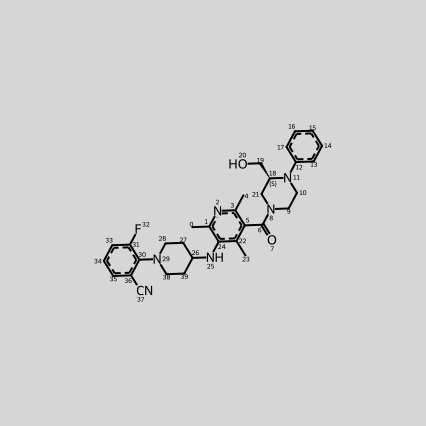 Cc1nc(C)c(C(=O)N2CCN(c3ccccc3)[C@H](CO)C2)c(C)c1NC1CCN(c2c(F)cccc2C#N)CC1